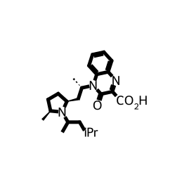 CC(C)CC(C)N1[C@H](C[C@H](C)n2c(=O)c(C(=O)O)nc3ccccc32)CC[C@@H]1C